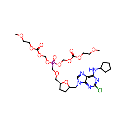 COCCOC(=O)OCOP(=O)(COC[C@@H]1CCC(Cn2cnc3c(NC4CCCC4)nc(Cl)nc32)O1)OCOC(=O)OCCOC